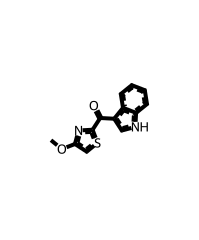 COc1csc(C(=O)c2c[nH]c3ccccc23)n1